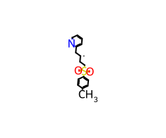 Cc1ccc(S(=O)(=O)CC[CH]Cc2ccccn2)cc1